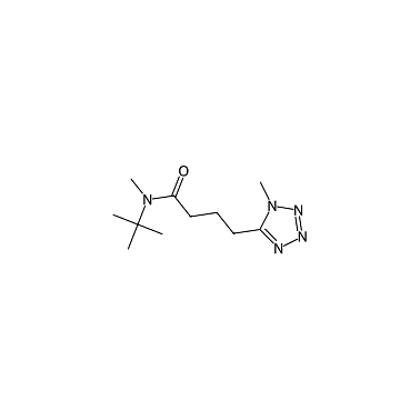 CN(C(=O)CCCc1nnnn1C)C(C)(C)C